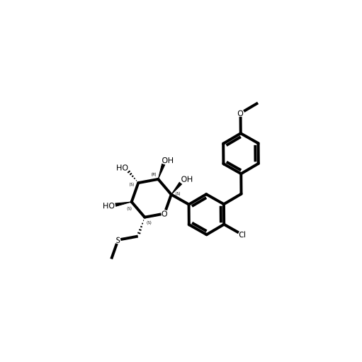 COc1ccc(Cc2cc([C@]3(O)O[C@H](CSC)[C@@H](O)[C@H](O)[C@H]3O)ccc2Cl)cc1